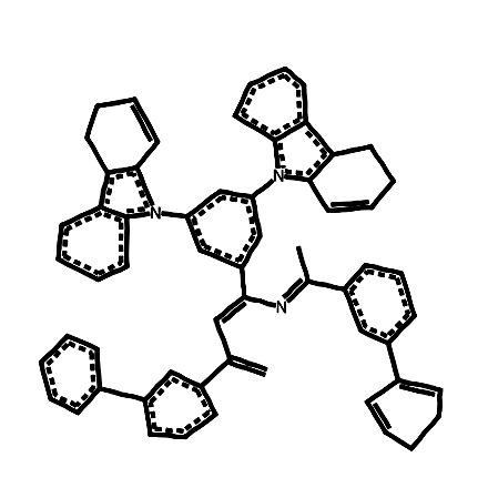 C=C(/C=C(\N=C(/C)c1cccc(C2=CCCC=C2)c1)c1cc(-n2c3c(c4ccccc42)CCC=C3)cc(-n2c3c(c4ccccc42)CCC=C3)c1)c1cccc(-c2ccccc2)c1